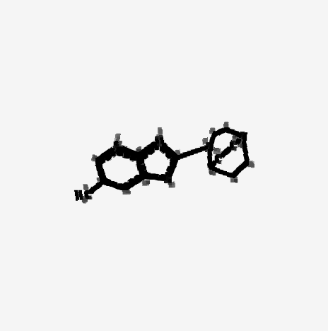 Cc1cnc2oc(N3CCN4CCC3CC4)nc2c1